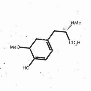 CN[C@@H](CC1=CC=C(O)C(OC)C1)C(=O)O